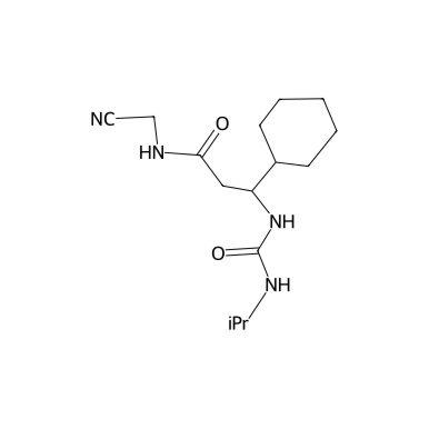 CC(C)NC(=O)NC(CC(=O)NCC#N)C1CCCCC1